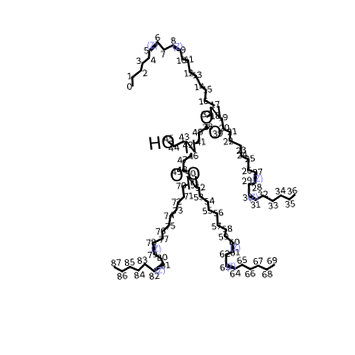 CCCCC/C=C\C/C=C\CCCCCCCCN(CCCCCCCC/C=C\C/C=C\CCCCC)OC(=O)CCN(CCO)CCC(=O)ON(CCCCCCCC/C=C\C/C=C\CCCCC)CCCCCCCC/C=C\C/C=C\CCCCC